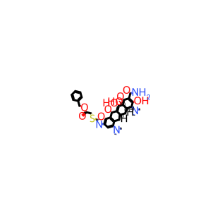 CN(C)c1cc2nc(SCC(=O)OCc3ccccc3)oc2c2c1C[C@H]1C[C@H]3[C@H](N(C)C)C(O)=C(C(N)=O)C(=O)[C@@]3(O)C(O)=C1C2=O